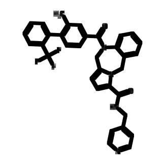 Cc1cc(C(=O)N2Cc3ccc(C(=O)NCc4ccncc4)n3Cc3ccccc32)ccc1-c1ccccc1C(F)(F)F